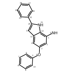 [NH]c1cc(Oc2ccccc2)cc2cc(-c3ccccc3)[nH]c12